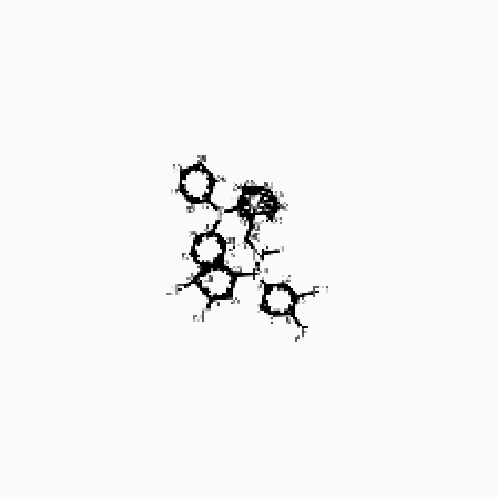 C[C@@H](N(C)P(c1ccc(F)c(F)c1)c1ccc(F)c(F)c1)[C@@]12[CH]3[CH]4[CH]5[C]1(P(c1ccccc1)c1ccccc1)[Fe]45321678[CH]2[CH]1[CH]6[CH]7[CH]28